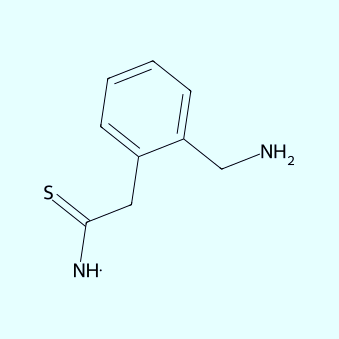 [NH]C(=S)Cc1ccccc1CN